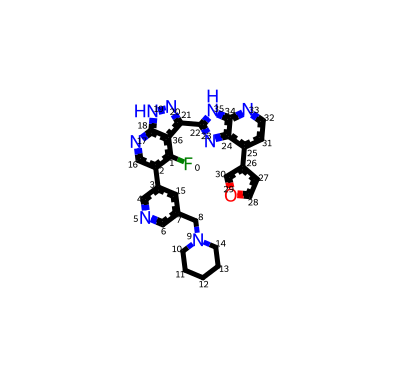 Fc1c(-c2cncc(CN3CCCCC3)c2)cnc2[nH]nc(-c3nc4c(-c5ccoc5)ccnc4[nH]3)c12